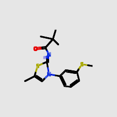 CSc1cccc(-n2cc(C)s/c2=N\C(=O)C(C)(C)C)c1